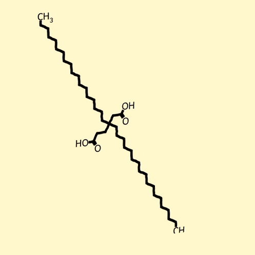 CCCCCCCCCCCCCCCCCCC(CCCCCCCCCCCCCCCCCC)(CCC(=O)O)CC(=O)O